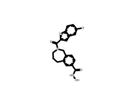 O=C(NO)c1ccc2c(c1)CCCN(C(=O)c1cc3cc(Cl)ccc3o1)C2